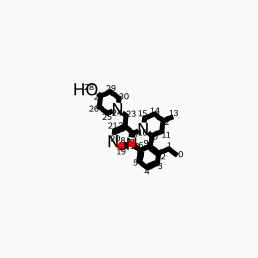 CCc1cccc(CC)c1C1CC(C)CCN1c1ncncc1CN1CCC(O)CC1